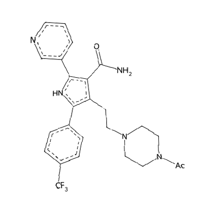 CC(=O)N1CCN(CCc2c(-c3ccc(C(F)(F)F)cc3)[nH]c(-c3cccnc3)c2C(N)=O)CC1